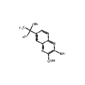 CCCCC(C)(CCC)c1ccc2nc(C(C)(C)C)c(OC)nc2c1